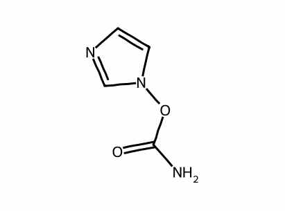 NC(=O)On1ccnc1